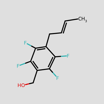 C/C=C/Cc1c(F)c(F)c(CO)c(F)c1F